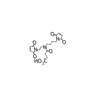 O=C(O)CCC(=O)N(CCCCN1C(=O)C=CC1=O)CCN1C(=O)C=CC1=O